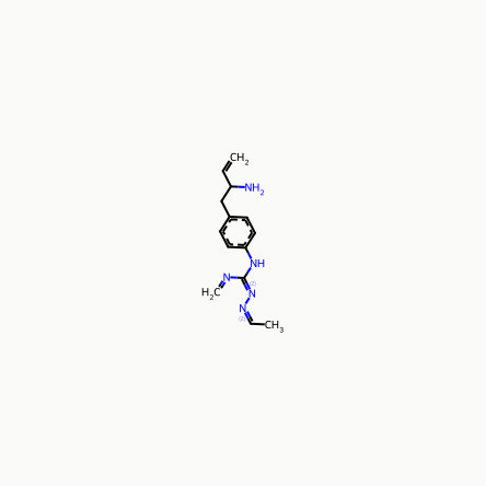 C=CC(N)Cc1ccc(N/C(N=C)=N/N=C\C)cc1